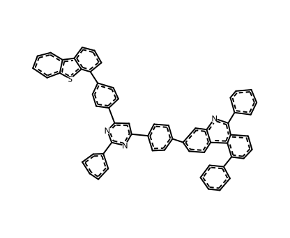 c1ccc(-c2nc(-c3ccc(-c4ccc5c(c4)nc(-c4ccccc4)c4cccc(-c6ccccc6)c45)cc3)cc(-c3ccc(-c4cccc5c4sc4ccccc45)cc3)n2)cc1